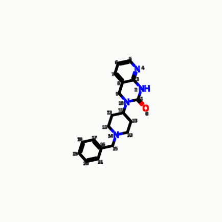 O=C1Nc2ncccc2CN1C1CCN(Cc2ccccc2)CC1